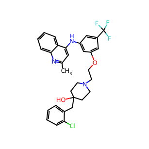 Cc1cc(Nc2cc(OCCN3CCC(O)(Cc4ccccc4Cl)CC3)cc(C(F)(F)F)c2)c2ccccc2n1